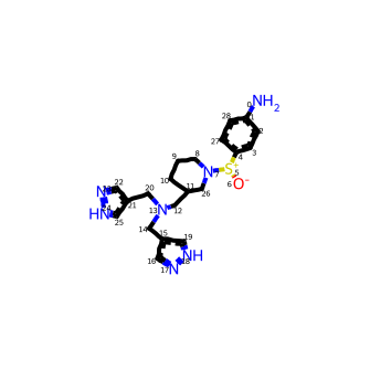 Nc1ccc([S+]([O-])N2CCCC(CN(Cc3cn[nH]c3)Cc3cn[nH]c3)C2)cc1